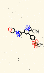 N#Cc1cnn2cc(-c3cnn(C4CCOCC4)c3)cc(-c3ccc(OS(=O)(=O)C(F)(F)F)cc3)c12